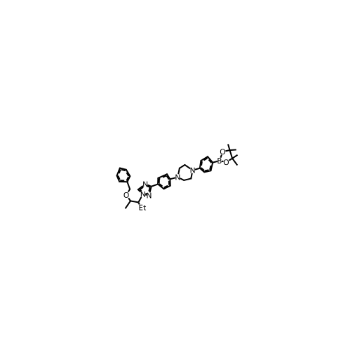 CCC(C(C)OCc1ccccc1)n1cnc(-c2ccc(N3CCN(c4ccc(B5OC(C)(C)C(C)(C)O5)cc4)CC3)cc2)n1